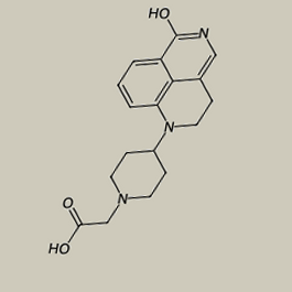 O=C(O)CN1CCC(N2CCc3cnc(O)c4cccc2c34)CC1